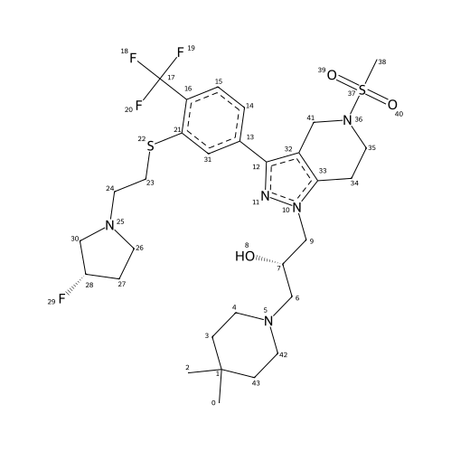 CC1(C)CCN(C[C@H](O)Cn2nc(-c3ccc(C(F)(F)F)c(SCCN4CC[C@H](F)C4)c3)c3c2CCN(S(C)(=O)=O)C3)CC1